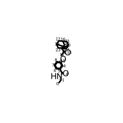 CCNC(=O)c1cccc(OCC(=O)C23CC4CC(CC(C4)C2)C3)c1